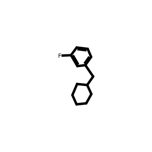 Fc1cccc(CC2CCCCC2)c1